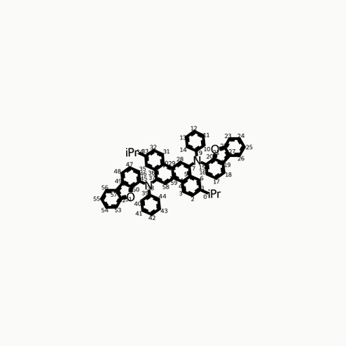 CC(C)c1ccc2c(c1)c(N(c1ccccc1)c1cccc3c1oc1ccccc13)cc1c3ccc(C(C)C)cc3c(N(c3ccccc3)c3cccc4c3oc3ccccc34)cc21